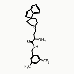 NC(CCN1CCC2(C=Cc3ccccc32)CC1)C(=O)NCc1cc(C(F)(F)F)cc(C(F)(F)F)c1